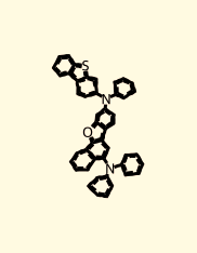 c1ccc(N(c2ccc3c(c2)oc2c4ccccc4c(N(c4ccccc4)c4ccccc4)cc32)c2ccc3c(c2)sc2ccccc23)cc1